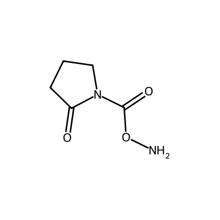 NOC(=O)N1CCCC1=O